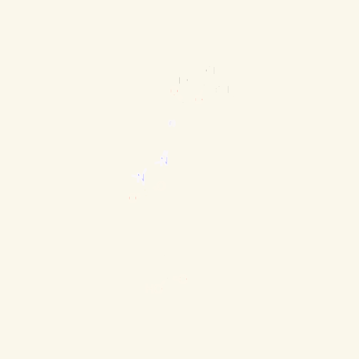 CC(C)(C)OC(=O)/C=C/c1cnc2c(ccn2S(=O)(=O)c2ccc(C=CC(=O)O)cc2)c1